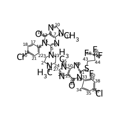 CN1CCN(c2nc3c(ncn3C)c(=O)n2-c2ccc(Cl)cc2)CC1.Cn1cnc2c(=O)n(-c3ccc(Cl)cc3F)c(SCCC(F)(F)F)nc21